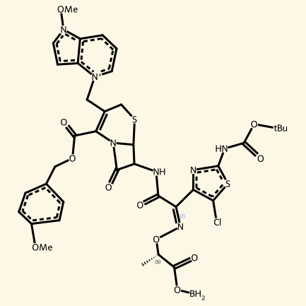 BOC(=O)[C@H](C)O/N=C(\C(=O)NC1C(=O)N2C(C(=O)OCc3ccc(OC)cc3)=C(C[n+]3cccc4c3ccn4OC)CSC12)c1nc(NC(=O)OC(C)(C)C)sc1Cl